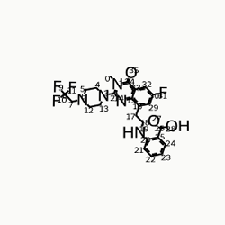 Cn1c(N2CCN(CC(F)(F)F)CC2)nc2c(CCNc3ccccc3C(=O)O)cc(F)cc2c1=O